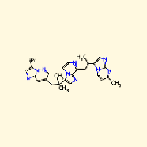 Cc1ccn2c(C(C)Cc3nccn4c(C(C)(C)Cc5cnn6c(C(C)C)cnc6c5)cnc34)cnc2n1